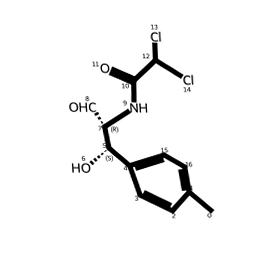 Cc1ccc([C@H](O)[C@H](C=O)NC(=O)C(Cl)Cl)cc1